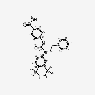 CC1(C)CCC(C)(C)c2cc(C(CCc3ccccc3)C(=O)Oc3ccc(C(=O)O)cc3)ccc21